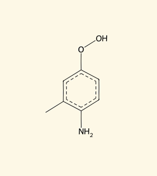 Cc1cc(OO)ccc1N